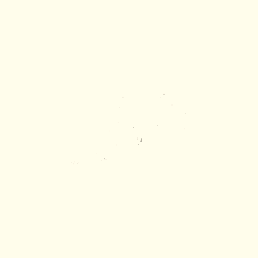 COc1ccc(C(=O)[C@@H](N)Cc2ccccc2Cl)cn1.Cl